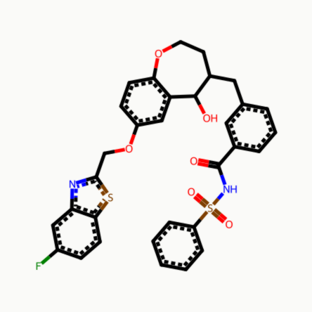 O=C(NS(=O)(=O)c1ccccc1)c1cccc(CC2CCOc3ccc(OCc4nc5cc(F)ccc5s4)cc3C2O)c1